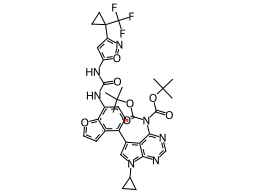 CC(C)(C)OC(=O)N(C(=O)OC(C)(C)C)c1ncnc2c1c(-c1ccc(NC(=O)Nc3cc(C4(C(F)(F)F)CC4)no3)c3occc13)cn2C1CC1